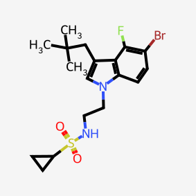 CC(C)(C)Cc1cn(CCNS(=O)(=O)C2CC2)c2ccc(Br)c(F)c12